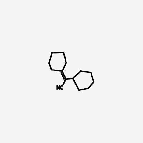 N#CC(=C1CCCCC1)C1CCCCC1